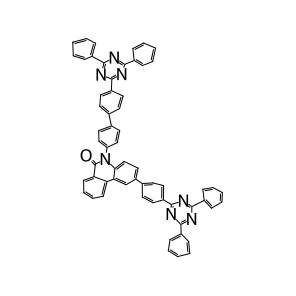 O=c1c2ccccc2c2cc(-c3ccc(-c4nc(-c5ccccc5)nc(-c5ccccc5)n4)cc3)ccc2n1-c1ccc(-c2ccc(-c3nc(-c4ccccc4)nc(-c4ccccc4)n3)cc2)cc1